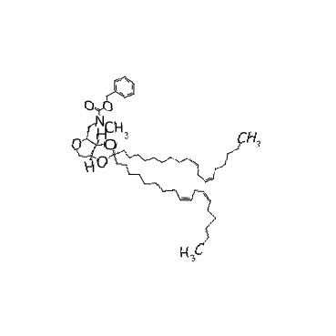 CCCCC/C=C\C/C=C\CCCCCCCCC1(CCCCCCCC/C=C\C/C=C\CCCCC)O[C@H]2[C@H](CN(C)C(=O)OCc3ccccc3)OC[C@H]2O1